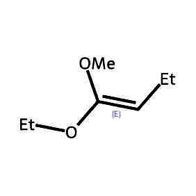 CC/C=C(\OC)OCC